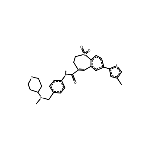 Cc1csc(-c2ccc3c(c2)C=C(C(=O)Nc2ccc(CN(C)C4CCOCC4)cc2)CCS3(=O)=O)c1